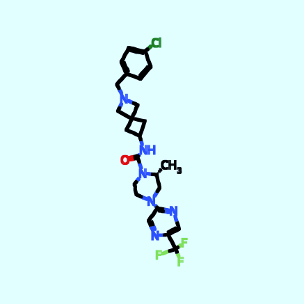 C[C@@H]1CN(c2cnc(C(F)(F)F)cn2)CCN1C(=O)NC1CC2(C1)CN(Cc1ccc(Cl)cc1)C2